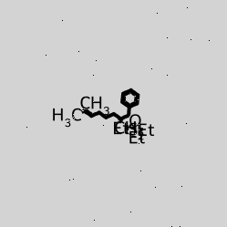 C=C(CCCC=C(C)C)C(O[Si](CC)(CC)CC)c1ccccc1